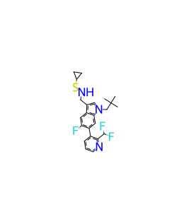 CC(C)(C)Cn1cc(CNSC2CC2)c2cc(F)c(-c3cccnc3C(F)F)cc21